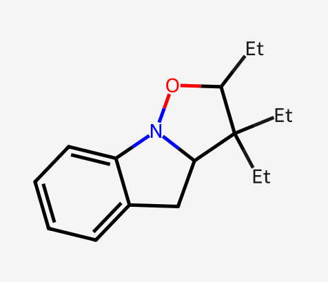 CCC1ON2c3ccccc3CC2C1(CC)CC